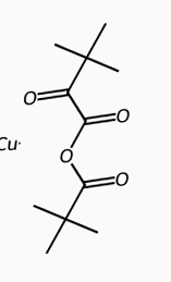 CC(C)(C)C(=O)OC(=O)C(=O)C(C)(C)C.[Cu]